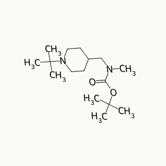 CN(CC1CCN(C(C)(C)C)CC1)C(=O)OC(C)(C)C